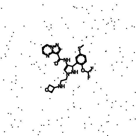 CSc1ccc(OC(F)F)c(C2NN(CCNC3COC3)C=C2NC(=O)c2cnn3cccnc23)c1